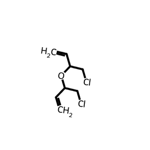 C=CC(CCl)OC(C=C)CCl